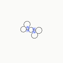 C1CCCNC2C(CCC1)CCCCCCCC2C1CCCC(C2CCCCCCC3CCCCCCCNC32)CCC1